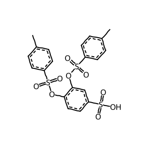 Cc1ccc(S(=O)(=O)Oc2ccc(S(=O)(=O)O)cc2OS(=O)(=O)c2ccc(C)cc2)cc1